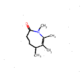 CC1=C(C)N(C)C(=O)CCC1C